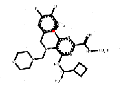 C=Nc1nc(C(=N)NC(=O)O)nc(N[C@H](C)C2CCC2)c1N(Cc1ccc(Cl)c(F)c1)CN1CCOCC1